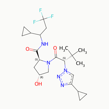 CC(C)(C)[C@@H](C(=O)N1C[C@H](O)C[C@H]1C(=O)NC(CC(F)(F)F)C1CC1)n1cc(C2CC2)nn1